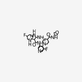 NC1NN2CC(F)CNC2C1C(=O)Nc1cncc(F)c1N1CCC(C(=O)NC2COC2)CC1